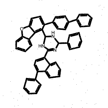 c1ccc(-c2ccc(-c3ccc4oc5ccccc5c4c3C3NC(c4ccc(-c5ccccc5)c5ccccc45)=NC(c4ccccc4)N3)cc2)cc1